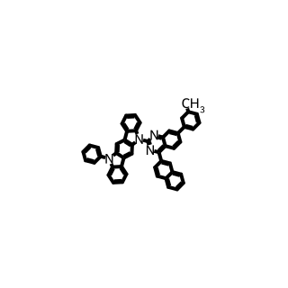 CC1C=CC=C(c2ccc3c(-c4ccc5ccccc5c4)nc(-n4c5ccccc5c5cc6c(cc54)c4ccccc4n6-c4ccccc4)nc3c2)C1